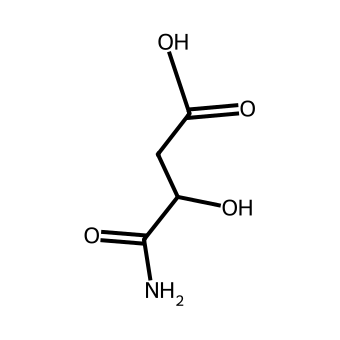 NC(=O)C(O)CC(=O)O